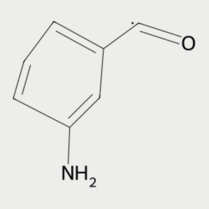 Nc1cccc([C]=O)c1